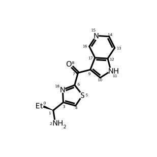 CC[C@H](N)c1csc(C(=O)c2c[nH]c3ccncc23)n1